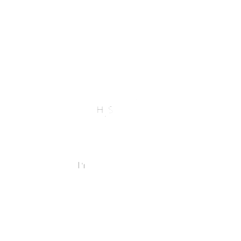 CC(C)CC[SiH2]C(C)(C)C